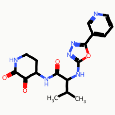 CC(C)C(Nc1nnc(-c2cccnc2)o1)C(=O)NC1CCNC(=O)C1=O